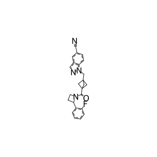 N#Cc1ccc2c(cnn2CC23CC(C(=O)N4CCC4c4ccccc4F)(C2)C3)c1